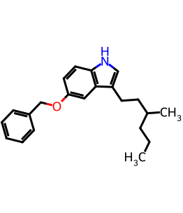 CCCC(C)CCc1c[nH]c2ccc(OCc3ccccc3)cc12